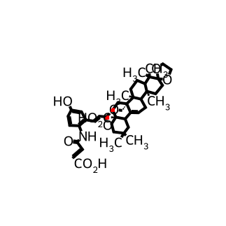 CC1(C)CC[C@]2(C(=O)O)CC[C@]3(COC(=O)/C=C/c4cc(O)ccc4NC(=O)/C=C/C(=O)O)C(=CCC4[C@@]5(C)CCC6(OCCO6)C(C)(C)C5CC[C@]43C)C2C1